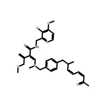 C=C(COC)/C(=C\N(C)Cc1ccc(CC(C)/C=C\C=C/C(C)=O)cc1)C(=O)NCc1nccc(OC)c1F